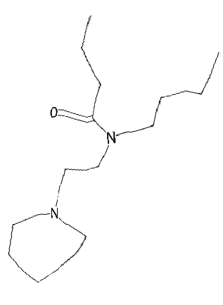 CCCCN(CCN1CCCCC1)C(=O)CCC